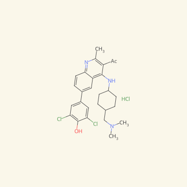 CC(=O)c1c(C)nc2ccc(-c3cc(Cl)c(O)c(Cl)c3)cc2c1NC1CCC(CN(C)C)CC1.Cl